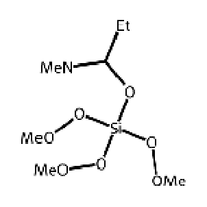 CCC(NC)O[Si](OOC)(OOC)OOC